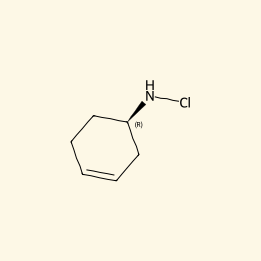 ClN[C@H]1CC=CCC1